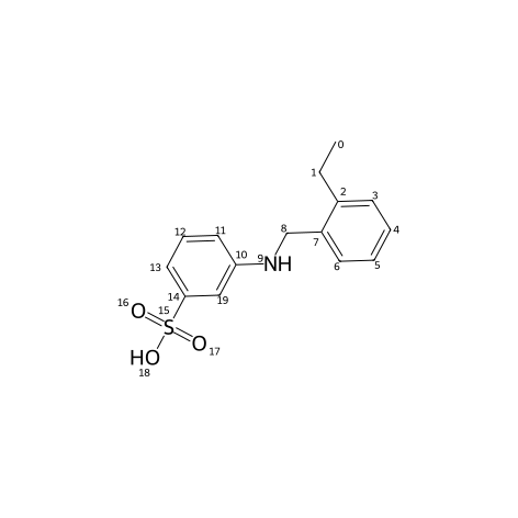 CCc1ccccc1CNc1cccc(S(=O)(=O)O)c1